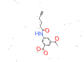 C#CCCCC(=O)Nc1cc(C(C)=O)cc(C(=O)OC)c1